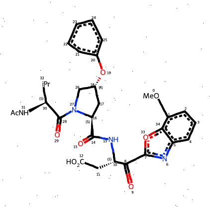 COc1cccc2nc(C(=O)[C@H](CC(=O)O)NC(=O)[C@@H]3C[C@@H](Oc4ccccc4)CN3C(=O)[C@@H](NC(C)=O)C(C)C)oc12